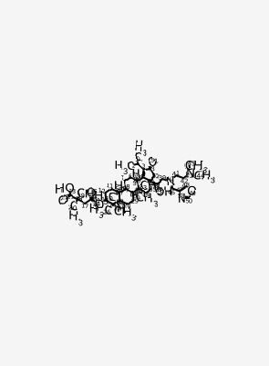 CC(C)C1=C2[C@H]3CC[C@@H]4[C@@]5(C)CCC(OC(=O)CC(C)(C)C(=O)O)C(C)(C)[C@@H]5CC[C@@]4(C)[C@]3(C)CC[C@@]2([C@@H](O)CN(CCN(C)C)Cc2cocn2)CC1=O